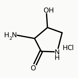 Cl.NC1C(=O)NCC1O